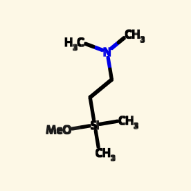 CO[Si](C)(C)CCN(C)C